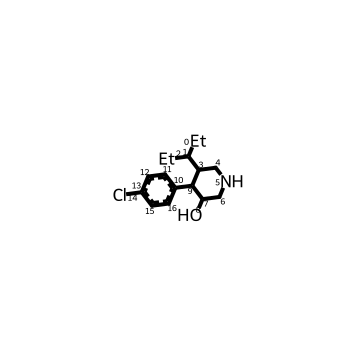 CCC(CC)C1CNCC(O)C1c1ccc(Cl)cc1